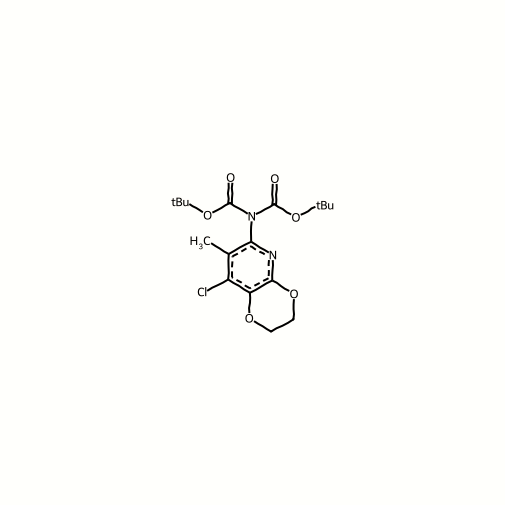 Cc1c(N(C(=O)OC(C)(C)C)C(=O)OC(C)(C)C)nc2c(c1Cl)OCCO2